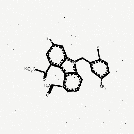 CCc1cc(C(=O)C(=O)O)c2c3c(C(N)=O)cccc3n(Cc3cc(C(F)(F)F)ccc3F)c2c1